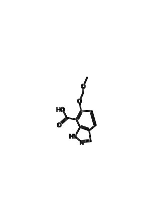 COCOc1ccc2cn[nH]c2c1C(=O)O